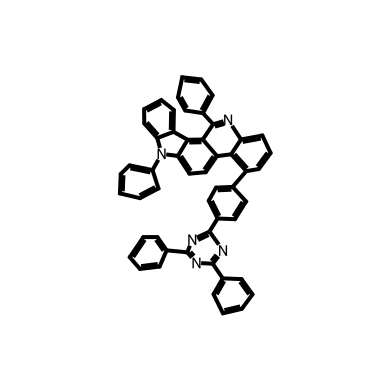 c1ccc(-c2nc(-c3ccccc3)nc(-c3ccc(-c4cccc5nc(-c6ccccc6)c6c(ccc7c6c6ccccc6n7-c6ccccc6)c45)cc3)n2)cc1